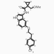 COCC1(C(=O)Nc2c[nH]c3ccc(OCCc4ccc(C(F)(F)F)cc4)cc23)CC1